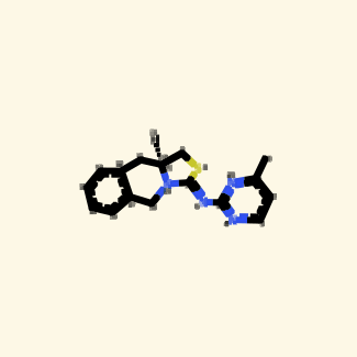 Cc1ccnc(N=C2SC[C@@H]3Cc4ccccc4CN23)n1